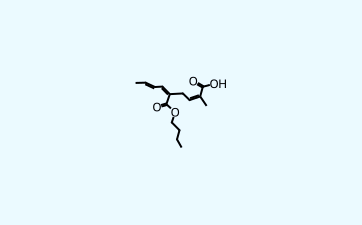 CC=CC=C(CC=C(C)C(=O)O)C(=O)OCCCC